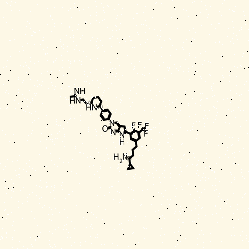 CC(=N)NCC[C@@H]1CCC[C@@H](c2ccc(-n3cc4cc(-c5cc(CCC[C@@H](N)C6CC6)cc(C(F)(F)F)c5F)[nH]c4nc3=O)cc2)N1